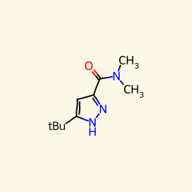 CN(C)C(=O)c1cc(C(C)(C)C)[nH]n1